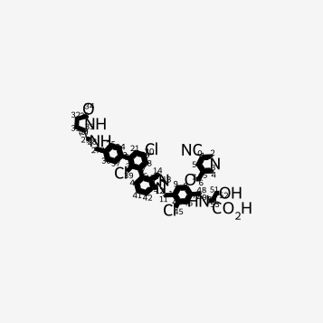 N#Cc1cncc(COc2cc(Cn3ncc4c(-c5cc(Cl)cc(-c6ccc(CNC[C@@H]7CCC(=O)N7)cc6)c5Cl)cccc43)c(Cl)cc2CN[C@@H](CO)C(=O)O)c1